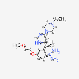 C=C(c1cc(OCCOC)ccc1N(N)N)[C@H]1C=C(N2CCN(CC)CC2)N=CN1